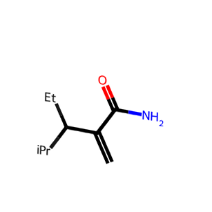 C=C(C(N)=O)C(CC)C(C)C